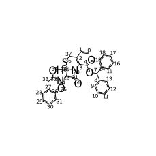 C=CC1=C(C(=O)OC(c2ccccc2)c2ccccc2)N2C(=O)C(N(Oc3ccccc3)C(C)=O)[C@@H]2SC1